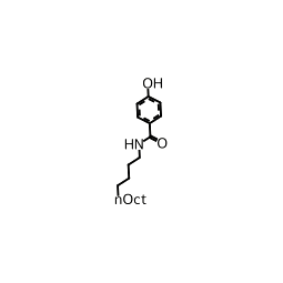 CCCCCCCCCCCCNC(=O)c1ccc(O)cc1